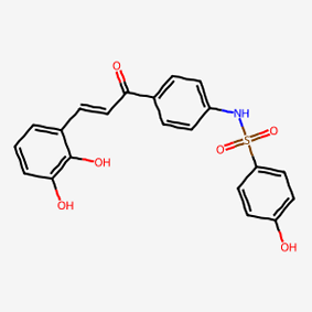 O=C(C=Cc1cccc(O)c1O)c1ccc(NS(=O)(=O)c2ccc(O)cc2)cc1